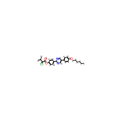 CCCCCCOc1ccc(-c2cnc(-c3ccc(OC(=O)[C@@H](Cl)C(C)C)cc3)nc2)cc1